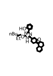 CCCCC(CC)COC1N=C(c2ccccc2O)N=C(C2=Cc3oc4c(c3CC2)C2CCC=CC2CC4)N1